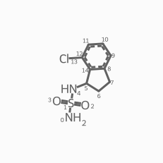 NS(=O)(=O)NC1CCc2cccc(Cl)c21